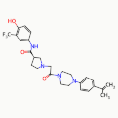 C=C(C)c1ccc(N2CCN(C(=O)CN3CC[C@@H](C(=O)Nc4ccc(O)c(C(F)(F)F)c4)C3)CC2)cc1